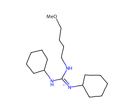 COCCCCN/C(=N\C1CCCCC1)NC1CCCCC1